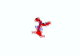 CC1=C(C)C(=O)C(C(C)(C)CC(=O)N(C)CCN(CCCC(=O)NCCNC(=O)c2ccc3c(c2)C(=O)OC32c3ccc(O)cc3Oc3cc(O)ccc32)C(=O)Oc2ccc3nc(C4=NC(OC=O)CS4)sc3c2)=C(C)C1=O